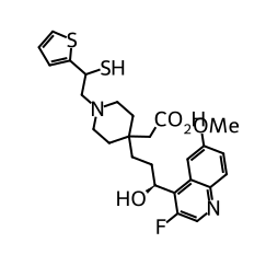 COc1ccc2ncc(F)c([C@@H](O)CCC3(CC(=O)O)CCN(CC(S)c4cccs4)CC3)c2c1